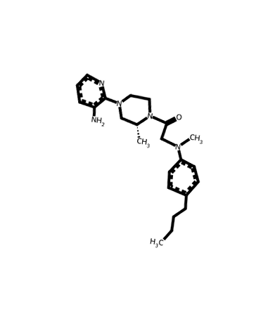 CCCCc1ccc(N(C)CC(=O)N2CCN(c3ncccc3N)C[C@H]2C)cc1